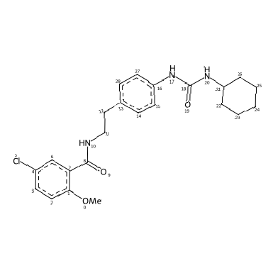 COc1ccc(Cl)cc1C(=O)NCCc1ccc(NC(=O)NC2CCCCC2)cc1